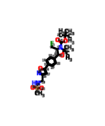 CC(C)(C)OC(=O)N1C(CF)C(c2ccc(-c3cc(CNS(C)(=O)=O)no3)cc2)OC1(C)C